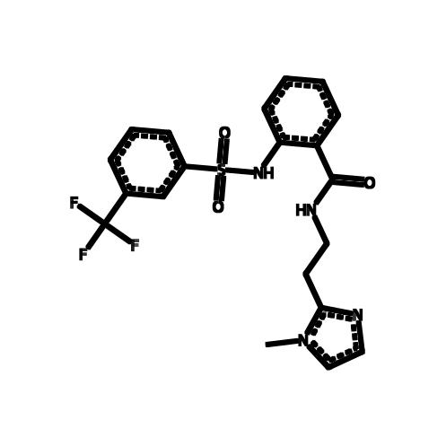 Cn1ccnc1CCNC(=O)c1ccccc1NS(=O)(=O)c1cccc(C(F)(F)F)c1